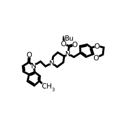 Cc1ccc2ccc(=O)n(CCN3CCC(N(Cc4ccc5c(c4)OCCO5)C(=O)OC(C)(C)C)CC3)c2c1